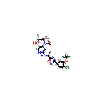 CC(Nc1nccc(N2C(=O)OC[C@@H]2[C@@H](C)O)n1)c1nc(-c2ccc(Cl)c(OC(F)(F)F)c2)no1